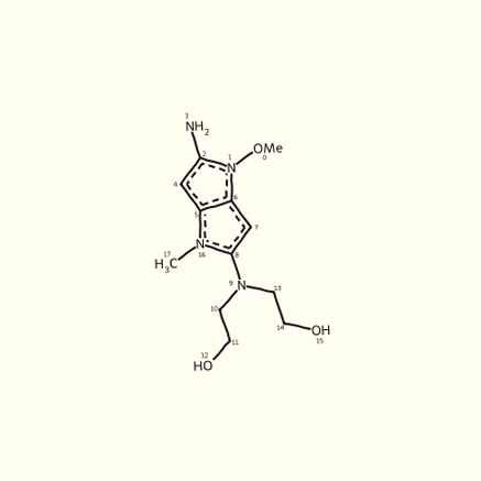 COn1c(N)cc2c1cc(N(CCO)CCO)n2C